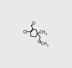 COCC1(C)CCC(Cl)=C(C=O)C1